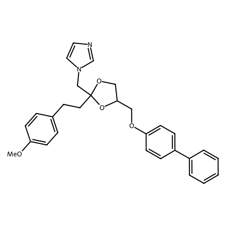 COc1ccc(CCC2(Cn3ccnc3)OCC(COc3ccc(-c4ccccc4)cc3)O2)cc1